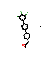 Fc1cc(-c2ccc(C3CCC(CC4CO4)CC3)cc2)cc(F)c1F